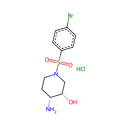 Cl.N[C@@H]1CCN(S(=O)(=O)c2ccc(Br)cc2)C[C@@H]1O